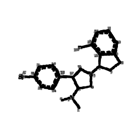 CN(C)C1CN(C2CCc3cccc(F)c32)CC1c1ccc(Br)cc1